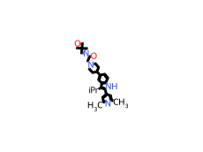 Cc1cc(-c2[nH]c3ccc(C4CCN(CC(=O)N5CC6(COC6)C5)CC4)cc3c2C(C)C)cc(C)n1